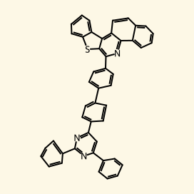 c1ccc(-c2cc(-c3ccc(-c4ccc(-c5nc6c7ccccc7ccc6c6c5sc5ccccc56)cc4)cc3)nc(-c3ccccc3)n2)cc1